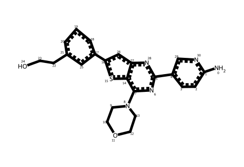 Nc1ccc(-c2nc(N3CCOCC3)c3sc(-c4cccc(CCO)c4)cc3n2)cn1